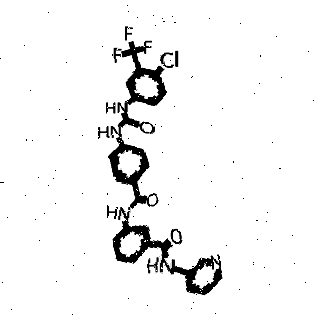 O=C(Nc1ccc(C(=O)Nc2cccc(C(=O)Nc3cccnc3)c2)cc1)Nc1ccc(Cl)c(C(F)(F)F)c1